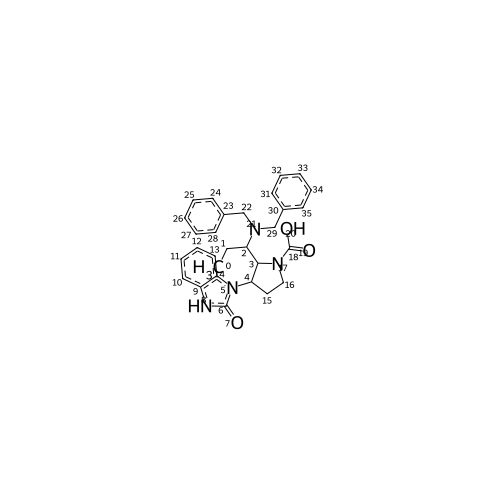 CCC(C1C(n2c(=O)[nH]c3ccccc32)CCN1C(=O)O)N(Cc1ccccc1)Cc1ccccc1